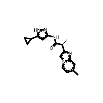 Cc1ccn2cc([C@@H](C)C(=O)Nc3cc(C4CC4)[nH]n3)nc2c1